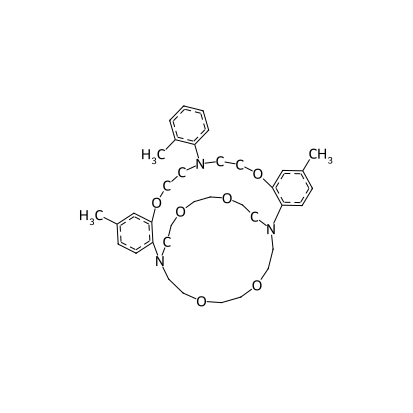 Cc1ccc2c(c1)OCCN(c1ccccc1C)CCOc1cc(C)ccc1N1CCOCCOCCN2CCOCCOCC1